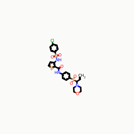 C=CC(N1CCOCC1)S(=O)(=O)c1ccc(NC(=O)c2sccc2NS(=O)(=O)c2ccc(Cl)cc2)cc1